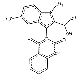 Cn1c(C(O)O)c(-n2c(=O)[nH]c3ccccc3c2=O)c2cc(C(F)(F)F)ccc21